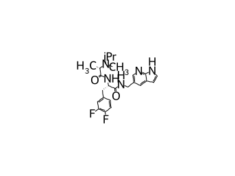 CC(C)N(C)[C@@H](C)C(=O)N[C@@H](Cc1ccc(F)c(F)c1)C(=O)NCc1cnc2[nH]ccc2c1